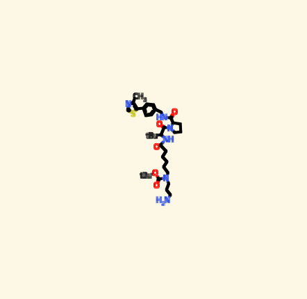 Cc1ncsc1-c1ccc(CNC(=O)C2CCCN2C(=O)C(NC(=O)CCCCCN(CCCN)C(=O)OC(C)(C)C)C(C)(C)C)cc1